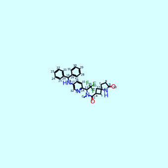 CN(C(=O)C1CC2(CCC(=O)N2)C1)[C@@H](c1ccc(NC(c2ccccc2)c2ccccc2)cn1)C(F)(F)F